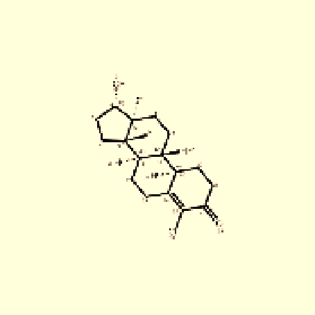 C[C@@]12CC[C@H](O)[C@@]1(C)CC[C@H]1[C@H]2CCC2=C(Cl)C(=O)CC[C@@H]21